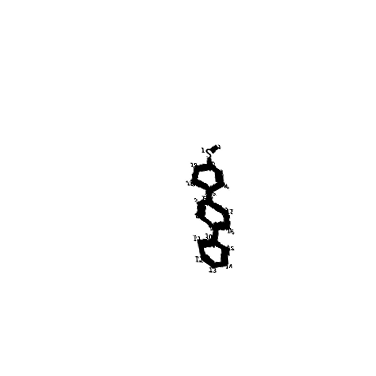 CSc1ccc(-c2ccc(-c3ccccc3)cc2)cc1